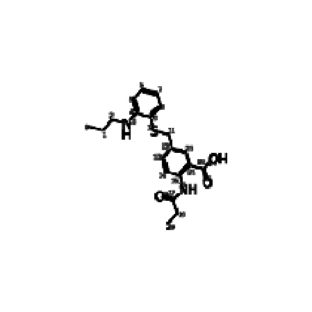 CCCNc1ccccc1SCc1ccc(NC(=O)CC)c(C(=O)O)c1